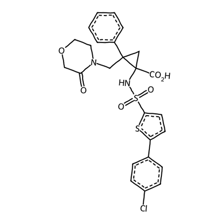 O=C1COCCN1CC1(c2ccccc2)CC1(NS(=O)(=O)c1ccc(-c2ccc(Cl)cc2)s1)C(=O)O